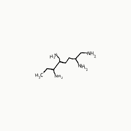 CCC(N)C(N)CCC(N)CN